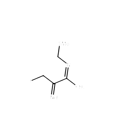 CSC/N=C(/C)C(=N)CI